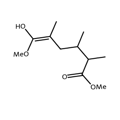 COC(=O)C(C)C(C)C/C(C)=C(/O)OC